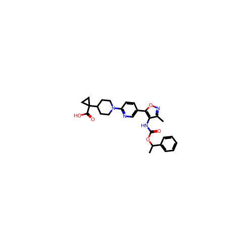 Cc1noc(-c2ccc(N3CCC(C4(C(=O)O)CC4)CC3)nc2)c1NC(=O)OC(C)c1ccccc1